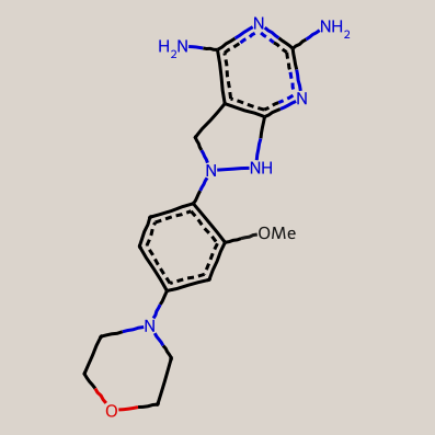 COc1cc(N2CCOCC2)ccc1N1Cc2c(N)nc(N)nc2N1